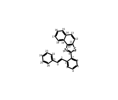 C(=Cc1ccccc1-c1nc2c(ccc3ccccc32)s1)c1ccccc1